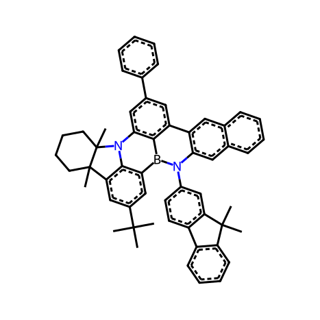 CC(C)(C)c1cc2c3c(c1)C1(C)CCCCC1(C)N3c1cc(-c3ccccc3)cc3c1B2N(c1ccc2c(c1)C(C)(C)c1ccccc1-2)c1cc2ccccc2cc1-3